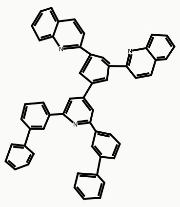 c1ccc(-c2cccc(-c3cc(-c4cc(-c5ccc6ccccc6n5)cc(-c5ccc6ccccc6n5)c4)cc(-c4cccc(-c5ccccc5)c4)n3)c2)cc1